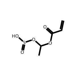 C=CC(=O)OC(C)OS(=O)O